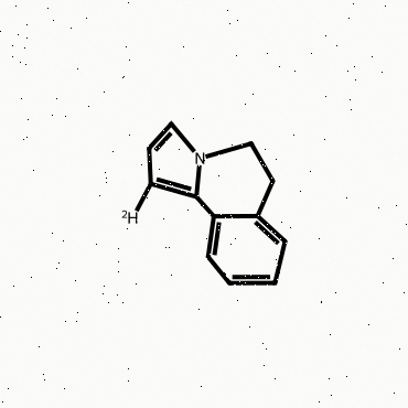 [2H]c1ccn2c1-c1ccccc1CC2